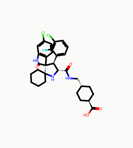 O=C(NC[C@H]1CC[C@H](C(=O)O)CC1)[C@@H]1NC2(CCCCC2)[C@@]2(C(=O)Nc3cc(Cl)ccc32)[C@H]1c1cccc(Cl)c1F